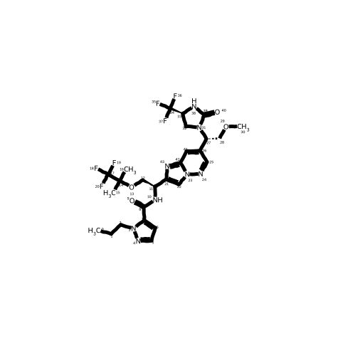 CCCn1nccc1C(=O)N[C@@H](COC(C)(C)C(F)(F)F)c1cn2ncc([C@@H](COC)N3C[C@@H](C(F)(F)F)NC3=O)cc2n1